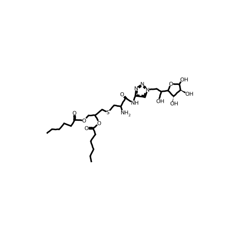 CCCCCC(=O)OCC(CSCC(N)C(=O)Nc1cn(CC(O)C2OC(O)[C@@H](O)[C@@H]2O)nn1)OC(=O)CCCCC